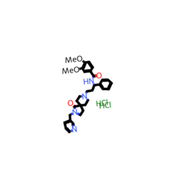 COc1ccc(C(=O)NC(CCN2CCC3(CC2)CCN(Cc2cccnc2)C3=O)c2ccccc2)cc1OC.Cl.Cl